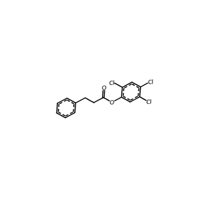 O=C(CCc1ccccc1)Oc1cc(Cl)c(Cl)cc1Cl